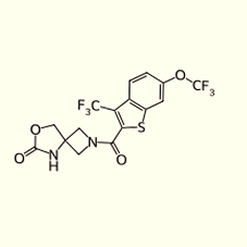 O=C1NC2(CO1)CN(C(=O)c1sc3cc(OC(F)(F)F)ccc3c1C(F)(F)F)C2